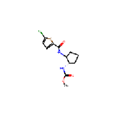 CC(C)(C)OC(=O)N[C@H]1CCCC1NC(=O)c1ccc(Cl)s1